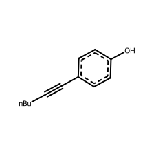 CCCCC#Cc1ccc(O)cc1